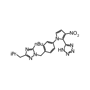 CCCCc1nc(CC(C)C)nn1Cc1ccc(-n2ccc([N+](=O)[O-])c2-c2nnn[nH]2)cc1